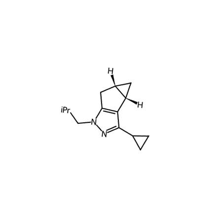 CC(C)Cn1nc(C2CC2)c2c1C[C@@H]1C[C@H]21